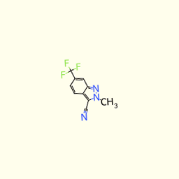 Cn1nc2cc(C(F)(F)F)ccc2c1C#N